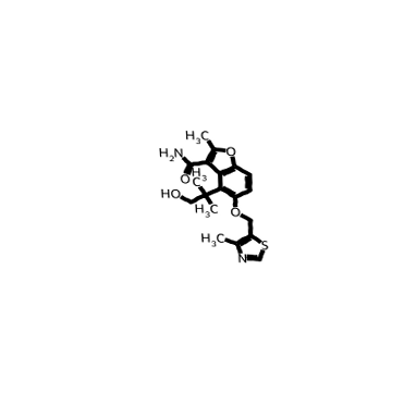 Cc1ncsc1COc1ccc2oc(C)c(C(N)=O)c2c1C(C)(C)CO